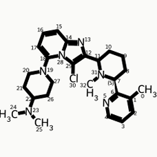 Cc1cccnc1[C@@H]1CCCC(c2nc3cccc(N4CCC(N(C)C)CC4)n3c2Cl)N1C